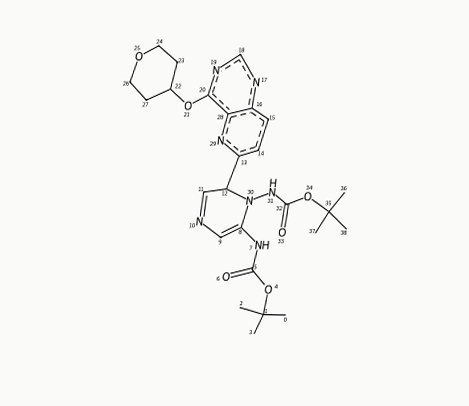 CC(C)(C)OC(=O)NC1=CN=CC(c2ccc3ncnc(OC4CCOCC4)c3n2)N1NC(=O)OC(C)(C)C